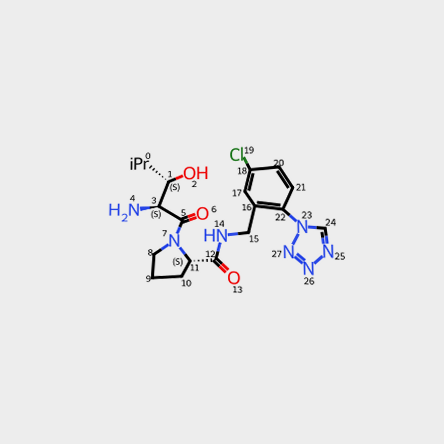 CC(C)[C@H](O)[C@H](N)C(=O)N1CCC[C@H]1C(=O)NCc1cc(Cl)ccc1-n1cnnn1